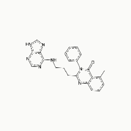 Cc1cccc2nc(CCCNc3ncnc4[nH]cnc34)n(-c3ccccc3)c(=O)c12